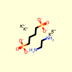 NCCN.O=P([O-])([O-])CCCCP(=O)([O-])[O-].[K+].[K+].[K+].[K+]